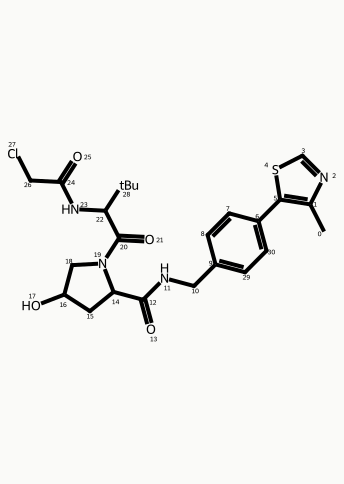 Cc1ncsc1-c1ccc(CNC(=O)C2CC(O)CN2C(=O)C(NC(=O)CCl)C(C)(C)C)cc1